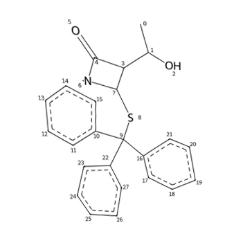 CC(O)C1C(=O)[N]C1SC(c1ccccc1)(c1ccccc1)c1ccccc1